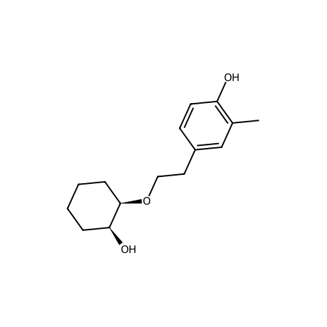 Cc1cc(CCO[C@@H]2CCCC[C@@H]2O)ccc1O